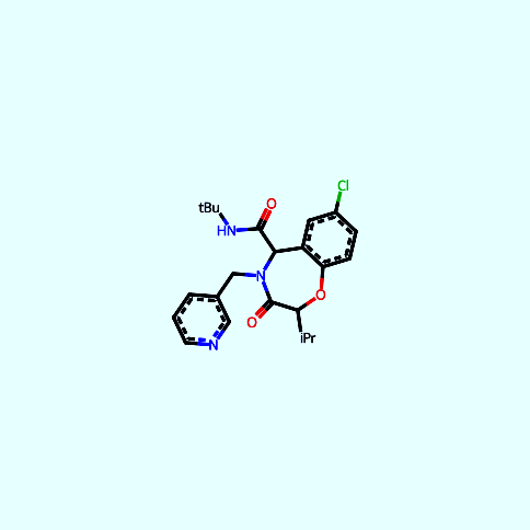 CC(C)C1Oc2ccc(Cl)cc2C(C(=O)NC(C)(C)C)N(Cc2cccnc2)C1=O